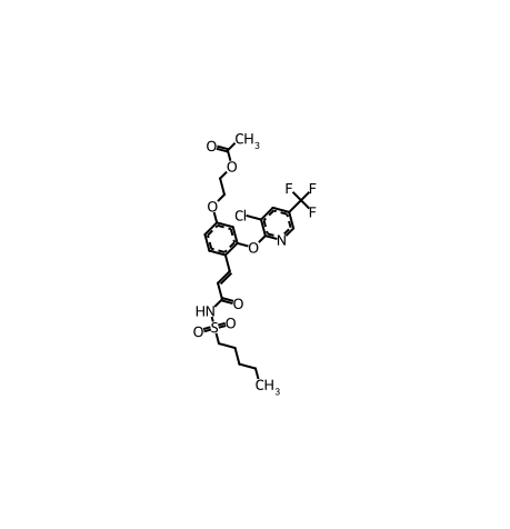 CCCCCS(=O)(=O)NC(=O)C=Cc1ccc(OCCOC(C)=O)cc1Oc1ncc(C(F)(F)F)cc1Cl